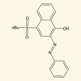 CCCCS(=O)(=O)c1cc(/N=N/c2ccccc2)c(O)c2ccccc12